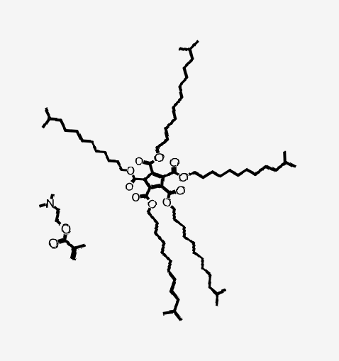 C=C(C)C(=O)OCCN(C)C.CC(C)CCCCCCCCCCOC(=O)C1=C(C(=O)OCCCCCCCCCCC(C)C)C(C(=O)OCCCCCCCCCCC(C)C)C(C(=O)OCCCCCCCCCCC(C)C)=C1C(=O)OCCCCCCCCCCC(C)C